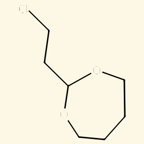 ClCCC1OCCCCO1